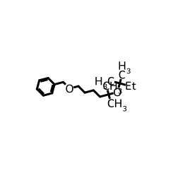 CCC(C)(C)OC(C)(C)CCCCOCc1ccccc1